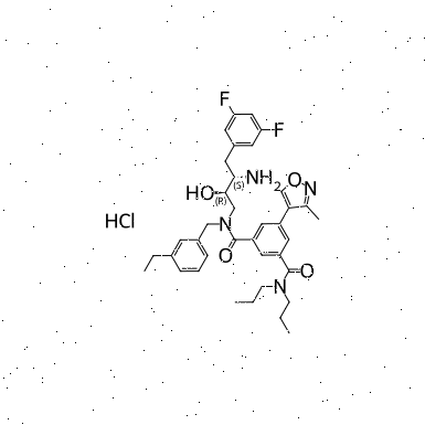 CCCN(CCC)C(=O)c1cc(C(=O)N(Cc2cccc(CC)c2)C[C@@H](O)[C@@H](N)Cc2cc(F)cc(F)c2)cc(-c2conc2C)c1.Cl